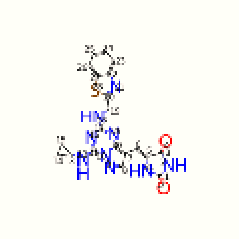 O=C1NC(=O)/C(=C/c2cnn3c(NC4CC4)nc(NCc4nc5ccccc5s4)nc23)N1